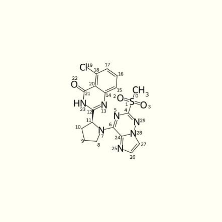 CS(=O)(=O)c1nc(N2CCC[C@H]2c2nc3cccc(Cl)c3c(=O)[nH]2)c2nccn2n1